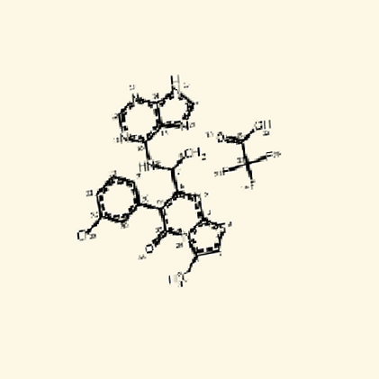 Cc1csc2nc(C(C)Nc3ncnc4[nH]cnc34)c(-c3cccc(Cl)c3)c(=O)n12.O=C(O)C(F)(F)F